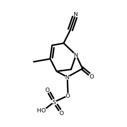 CC1=CC(C#N)N2CC1N(OS(=O)(=O)O)C2=O